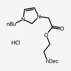 CCCCCCCCCCCCOC(=O)CN1C=CN(CCCC)C1.Cl